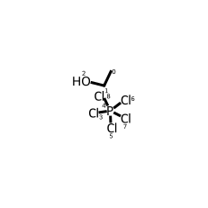 CCO.ClP(Cl)(Cl)(Cl)Cl